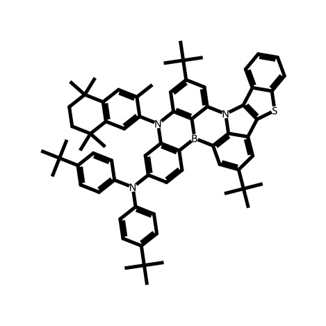 Cc1cc2c(cc1N1c3cc(N(c4ccc(C(C)(C)C)cc4)c4ccc(C(C)(C)C)cc4)ccc3B3c4c1cc(C(C)(C)C)cc4-n1c4c3cc(C(C)(C)C)cc4c3sc4ccccc4c31)C(C)(C)CCC2(C)C